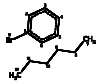 Brc1ccccc1.CCCCCC